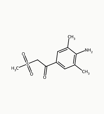 Cc1cc(C(=O)CS(C)(=O)=O)cc(C)c1N